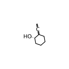 C=C=C1CCCC[C@@H]1O